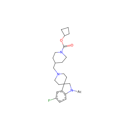 CC(=O)N1CC2(CCN(CC3CCN(C(=O)OC4CCC4)CC3)CC2)c2cc(F)ccc21